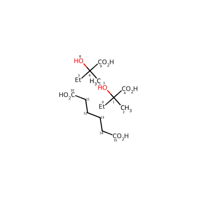 CCC(C)(O)C(=O)O.CCC(C)(O)C(=O)O.O=C(O)CCCCC(=O)O